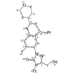 CCn1c(CO)nn(-c2cc3c(C(C)C)cc(C4CCOCC4)nc3cc2F)c1=O